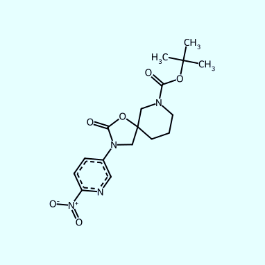 CC(C)(C)OC(=O)N1CCCC2(C1)CN(c1ccc([N+](=O)[O-])nc1)C(=O)O2